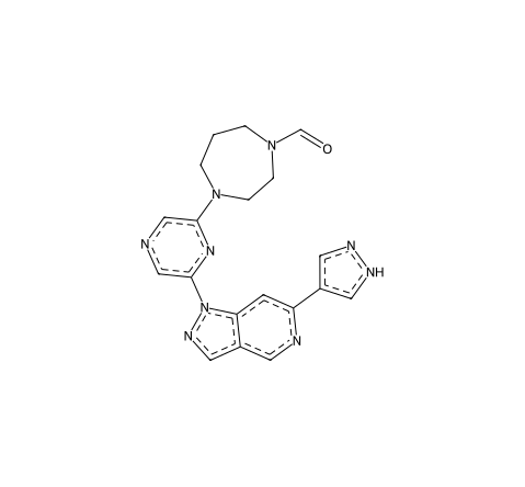 O=CN1CCCN(c2cncc(-n3ncc4cnc(-c5cn[nH]c5)cc43)n2)CC1